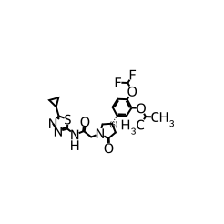 CC(C)Oc1cc([C@@H]2CC(=O)N(CC(=O)Nc3nnc(C4CC4)s3)C2)ccc1OC(F)F